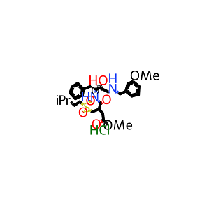 COC(=O)CC(CS(=O)(=O)CCC(C)C)C(=O)N[C@@H](Cc1ccccc1)[C@H](O)CNCc1cccc(OC)c1.Cl